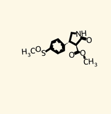 COSc1ccc([C@@H]2CNC(=O)[C@H]2C(=O)OC)cc1